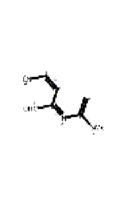 C=C(/N=C(C=O)\C=C/N)SC